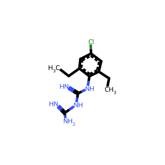 CCc1cc(Cl)cc(CC)c1NC(=N)NC(=N)N